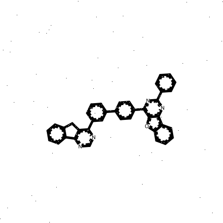 c1ccc(-c2nc(-c3ccc(-c4cccc(-c5ncnc6c5Cc5ccccc5-6)c4)cc3)c3oc4ccccc4c3n2)cc1